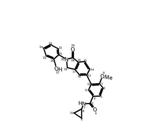 COc1ccc(C(=O)NC2CC2)cc1-c1ccc2c(c1)CN(c1ccccc1O)C2=O